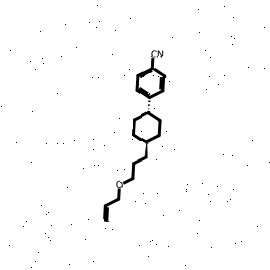 C=CCOCCC[C@H]1CC[C@H](c2ccc(C#N)cc2)CC1